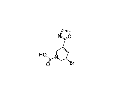 O=C(O)N1CC(c2ncco2)=CC(Br)C1